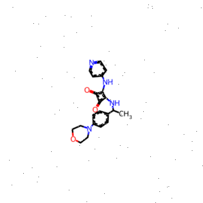 CC(Nc1c(Nc2ccncc2)c(=O)c1=O)c1ccc(N2CCOCC2)cc1